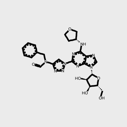 O=CN(Cc1ccccc1)c1cn(-c2nc(N[C@@H]3CCOC3)c3ncn([C@@H]4O[C@H](CO)[C@@H](O)[C@H]4O)c3n2)nn1